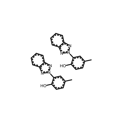 Cc1ccc(O)c(-n2nc3ccccc3n2)c1.Cc1ccc(O)c(-n2nc3ccccc3n2)c1